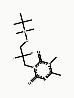 Cc1nc(=O)n(CC(F)(F)CO[Si](C)(C)C(C)(C)C)c(=O)n1C